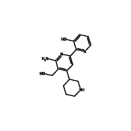 Nc1nc(-c2ncccc2O)cc(C2CCCNC2)c1CO